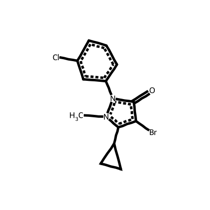 Cn1c(C2CC2)c(Br)c(=O)n1-c1cccc(Cl)c1